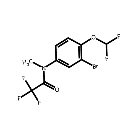 CN(C(=O)C(F)(F)F)c1ccc(OC(F)F)c(Br)c1